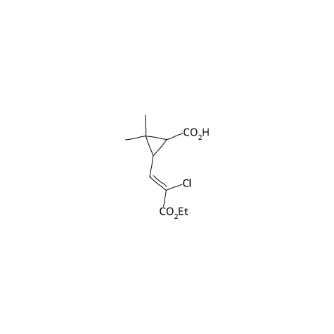 CCOC(=O)/C(Cl)=C/C1C(C(=O)O)C1(C)C